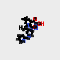 CN1CC2(CC2)CC(C(=O)NO)C1C(=O)N1CCN(Cc2ccccn2)CC1